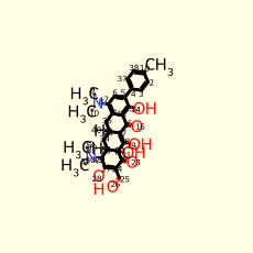 Cc1ccc(-c2cc(N(C)C)c3c(c2O)C(=O)C2=C(O)[C@]4(O)C(=O)C(C=O)=C(O)[C@@H](N(C)C)[C@@H]4C[C@@H]2C3)cc1